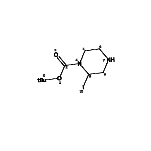 CC(C)(C)OC(=O)N1CCNCC1I